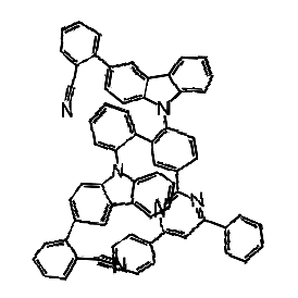 N#Cc1ccccc1-c1ccc2c(c1)c1ccccc1n2-c1ccccc1-c1cc(-c2nc(-c3ccccc3)cc(-c3ccccc3)n2)ccc1-n1c2ccccc2c2cc(-c3ccccc3C#N)ccc21